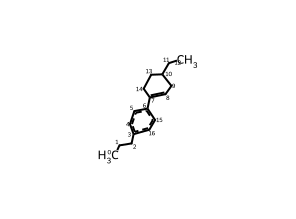 CCCc1ccc(C2=CCC(CC)CC2)cc1